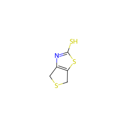 Sc1nc2c(s1)CSC2